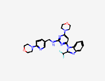 FC(F)c1nc2ccccc2n1-c1cc(N2CCOCC2)nc(NCc2ccc(N3CCOCC3)nc2)n1